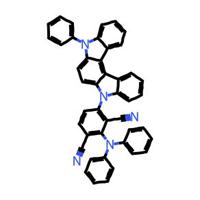 N#Cc1ccc(-n2c3ccccc3c3c4c5ccccc5n(-c5ccccc5)c4ccc32)c(C#N)c1N(c1ccccc1)c1ccccc1